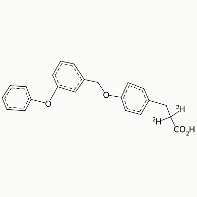 [2H]C([2H])(Cc1ccc(OCc2cccc(Oc3ccccc3)c2)cc1)C(=O)O